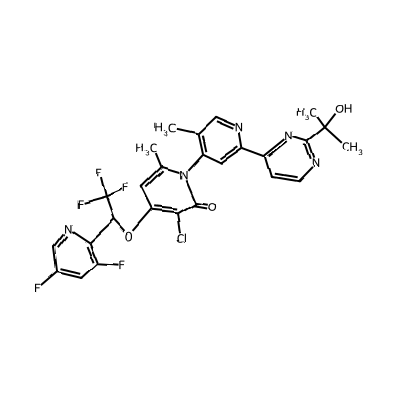 Cc1cnc(-c2ccnc(C(C)(C)O)n2)cc1-n1c(C)cc(OC(c2ncc(F)cc2F)C(F)(F)F)c(Cl)c1=O